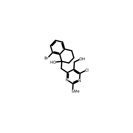 CSc1nc(Cl)c(CO)c(CC2(O)CCCc3cccc(Br)c32)n1